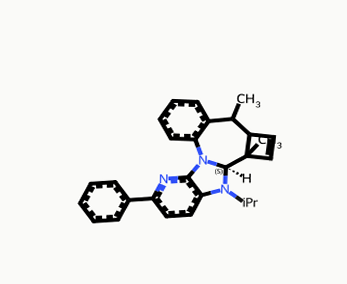 CC1c2ccccc2N2c3nc(-c4ccccc4)ccc3N(C(C)C)[C@@H]2C2(C)C=CC12